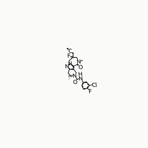 C=C=C[C@]1(F)CN(C)C(=O)c2c3c(nn2C1)C[C@@H](C)N(C(=O)Nc1ccc(F)c(Cl)c1)C3